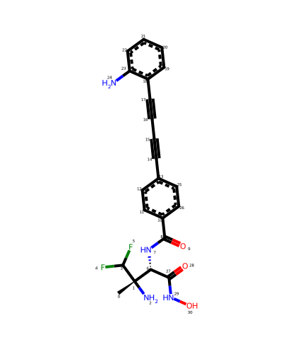 C[C@@](N)(C(F)F)[C@H](NC(=O)c1ccc(C#CC#Cc2ccccc2N)cc1)C(=O)NO